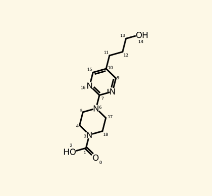 O=C(O)N1CCN(c2ncc(CCCO)cn2)CC1